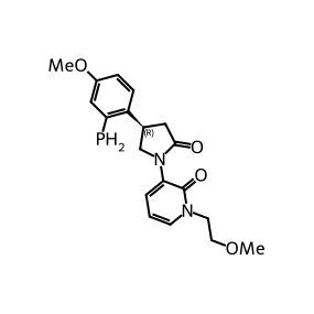 COCCn1cccc(N2C[C@@H](c3ccc(OC)cc3P)CC2=O)c1=O